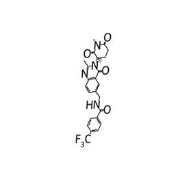 Cc1nc2ccc(CNC(=O)c3ccc(C(F)(F)F)cc3)cc2c(=O)n1[C@H]1CCC(=O)N(C)C1=O